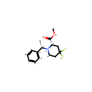 COC(=O)[C@@H]1CC(F)(F)CCN1[C@@H](C)c1ccccc1